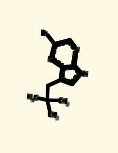 CC(C)(C)Cc1c[nH]c2ncc(Br)nc12